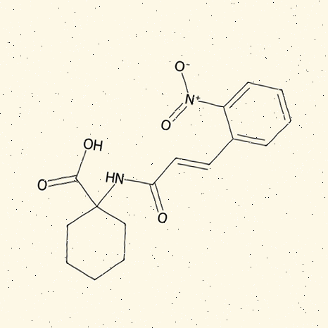 O=C(C=Cc1ccccc1[N+](=O)[O-])NC1(C(=O)O)CCCCC1